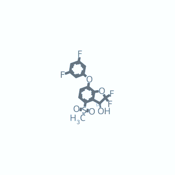 CS(=O)(=O)c1ccc(Oc2cc(F)cc(F)c2)c2c1[C@H](O)C(F)(F)O2